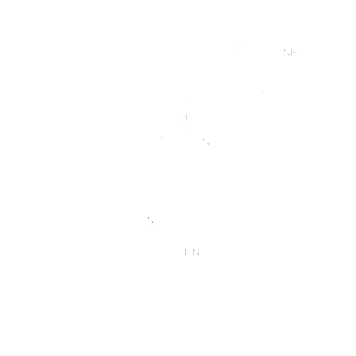 NC(=O)OCCN(c1ccc(NC2CCCCC2)c(NCc2ccccc2)c1)[SH](=O)=O